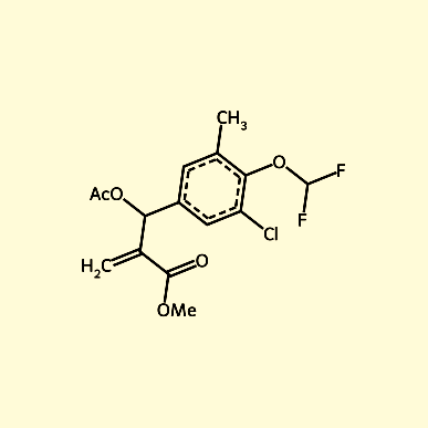 C=C(C(=O)OC)C(OC(C)=O)c1cc(C)c(OC(F)F)c(Cl)c1